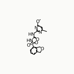 COc1cc(C)nc(NC(=O)NS(=O)(=O)c2cccc3c2COC3)n1